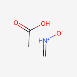 C=[NH+][O-].CC(=O)O